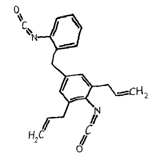 C=CCc1cc(Cc2ccccc2N=C=O)cc(CC=C)c1N=C=O